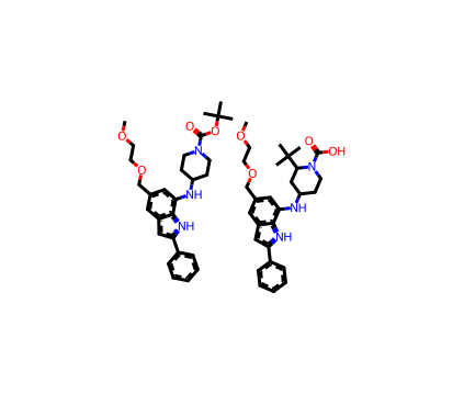 COCCOCc1cc(NC2CCN(C(=O)O)C(C(C)(C)C)C2)c2[nH]c(-c3ccccc3)cc2c1.COCCOCc1cc(NC2CCN(C(=O)OC(C)(C)C)CC2)c2[nH]c(-c3ccccc3)cc2c1